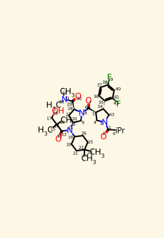 CC(C)C(=O)N1C[C@@H](C(=O)N2C[C@@H](N(C(=O)C(C)(C)CO)C3CCC(C)(C)CC3)C[C@H]2C(=O)N(C)C)[C@H](c2ccc(F)cc2F)C1